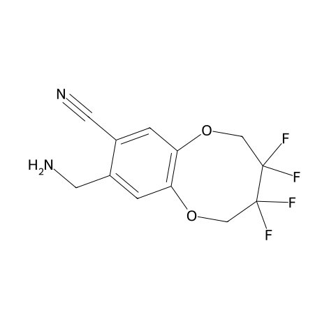 N#Cc1cc2c(cc1CN)OCC(F)(F)C(F)(F)CO2